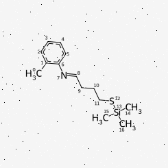 Cc1ccccc1N=CCCCS[Si](C)(C)C